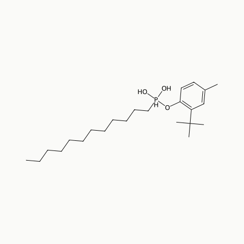 CCCCCCCCCCCC[PH](O)(O)Oc1ccc(C)cc1C(C)(C)C